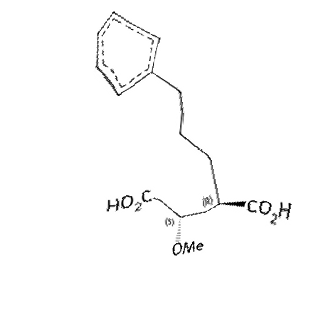 CO[C@H](C(=O)O)[C@@H](CCCc1ccccc1)C(=O)O